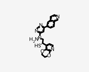 NN(C[C@@H](S)c1ccnc2c1OCCO2)c1cc(-c2ccc3cnccc3c2)ncn1